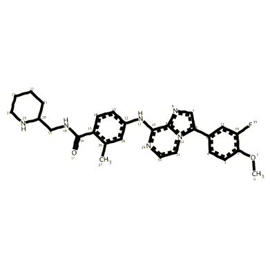 COc1ccc(-c2cnc3c(Nc4ccc(C(=O)NCC5CCCCN5)c(C)c4)nccn23)cc1F